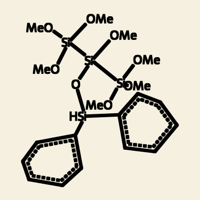 CO[Si](OC)(OC)[Si](OC)(O[SiH](c1ccccc1)c1ccccc1)[Si](OC)(OC)OC